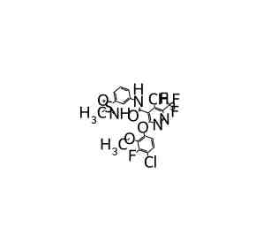 COc1c(Oc2nnc(C(F)(F)F)c(C)c2C(=O)Nc2cccc(S(C)(=N)=O)c2)ccc(Cl)c1F